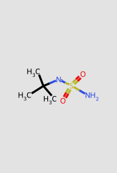 CC(C)(C)[N]S(N)(=O)=O